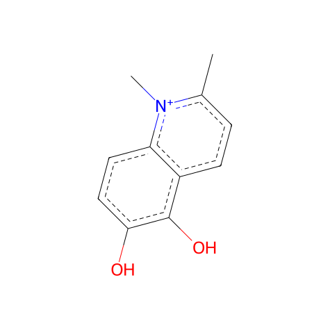 Cc1ccc2c(O)c(O)ccc2[n+]1C